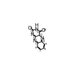 O=C1N=C2N=c3ccccc3=NC2C(=O)N1